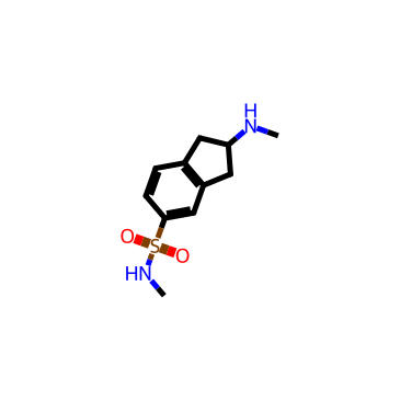 CNC1Cc2ccc(S(=O)(=O)NC)cc2C1